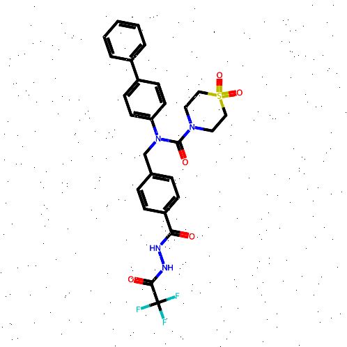 O=C(NNC(=O)C(F)(F)F)c1ccc(CN(C(=O)N2CCS(=O)(=O)CC2)c2ccc(-c3ccccc3)cc2)cc1